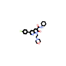 O=C(NC1CCCCC1)c1cc2cc(-c3ccc(F)cc3)cnc2n(CCN2CCOCC2)c1=O